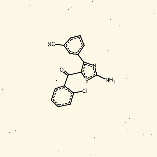 N#Cc1cccc(-c2nc(N)sc2C(=O)c2ccccc2Cl)c1